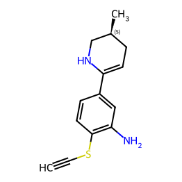 C#CSc1ccc(C2=CC[C@H](C)CN2)cc1N